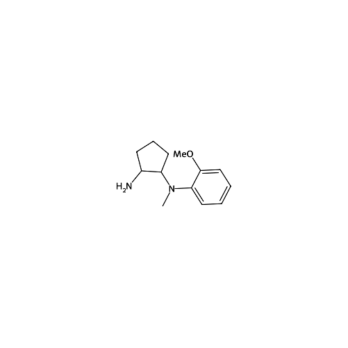 COc1ccccc1N(C)C1CCCC1N